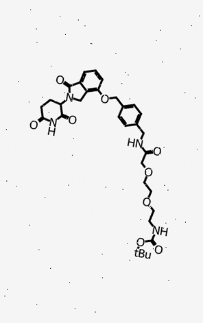 CC(C)(C)OC(=O)NCCOCCOCC(=O)NCc1ccc(COc2cccc3c2CN(C2CCC(=O)NC2=O)C3=O)cc1